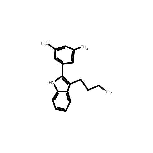 Cc1cc(C)cc(-c2[nH]c3ccccc3c2CCCN)c1